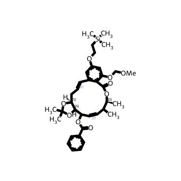 COCOc1cc(OCC[Si](C)(C)C)cc2c1C(=O)O[C@@H](C)C(C)/C=C\C(OC(=O)c1ccccc1)[C@H]1OC(C)(C)O[C@H]1C/C=C/2